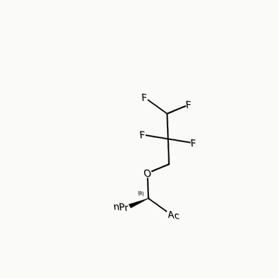 CCC[C@@H](OCC(F)(F)C(F)F)C(C)=O